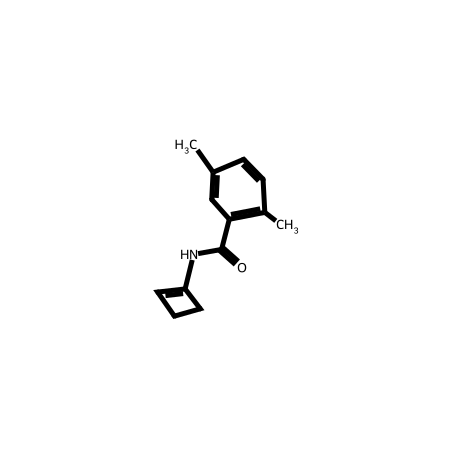 Cc1ccc(C)c(C(=O)NC2=CCC2)c1